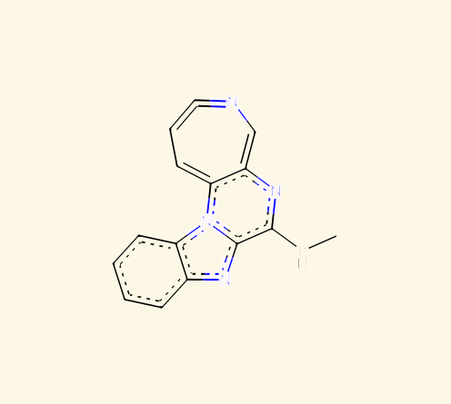 CBc1nc2c(n3c1nc1ccccc13)=CC=C=NC=2